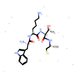 C[C@@H](O)[C@H](NC(=O)[C@H](CCCCN)NC(=O)[C@@H](N)Cc1c[nH]c2ccccc12)C(=O)N[C@H]([C]=O)CS